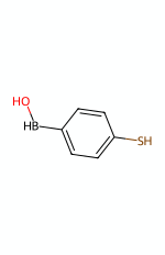 OBc1ccc(S)cc1